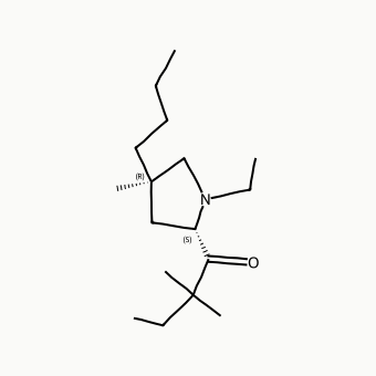 CCCC[C@]1(C)C[C@@H](C(=O)C(C)(C)CC)N(CC)C1